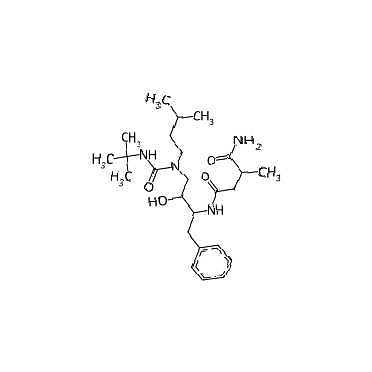 CC(C)CCN(CC(O)C(Cc1ccccc1)NC(=O)CC(C)C(N)=O)C(=O)NC(C)(C)C